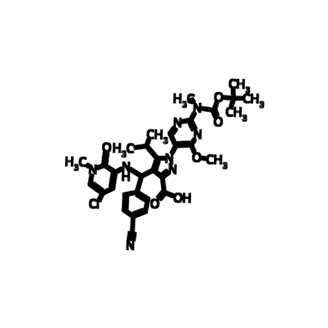 COc1nc(N(C)C(=O)OC(C)(C)C)ncc1-n1nc(C(=O)O)c(C(Nc2cc(Cl)cn(C)c2=O)c2ccc(C#N)cc2)c1C(C)C